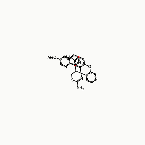 COc1cnc2c(C3CSC(N)=NC34c3ccncc3Oc3ccc(N)cc34)nccc2c1